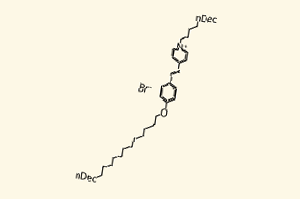 CCCCCCCCCCCCCCCCCCCCCCOc1ccc(C=Cc2cc[n+](CCCCCCCCCCCCCC)cc2)cc1.[Br-]